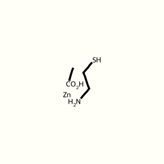 CC(=O)O.NCCS.[Zn]